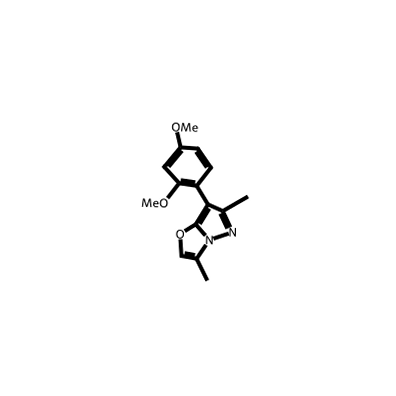 COc1ccc(-c2c(C)nn3c(C)coc23)c(OC)c1